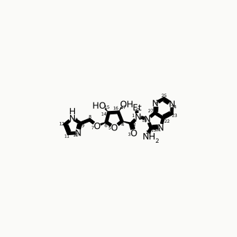 CCN(C(=O)[C@H]1O[C@@H](OCc2ncc[nH]2)[C@H](O)[C@@H]1O)n1c(N)nc2cncnc21